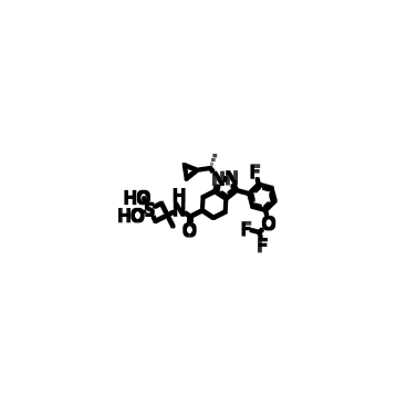 C[C@@H](C1CC1)n1nc(-c2cc(OC(F)F)ccc2F)c2c1CC(C(=O)NC1(C)CS(O)(O)C1)CC2